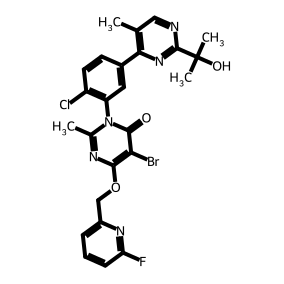 Cc1cnc(C(C)(C)O)nc1-c1ccc(Cl)c(-n2c(C)nc(OCc3cccc(F)n3)c(Br)c2=O)c1